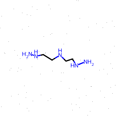 NNCCNCCNN